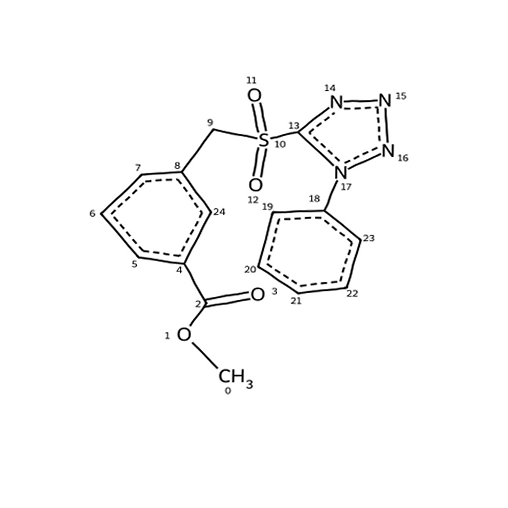 COC(=O)c1cccc(CS(=O)(=O)c2nnnn2-c2ccccc2)c1